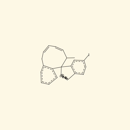 CC1/C=C\C=C/Cc2ccccc2C12c1ccccc1-c1ccc(I)cc12